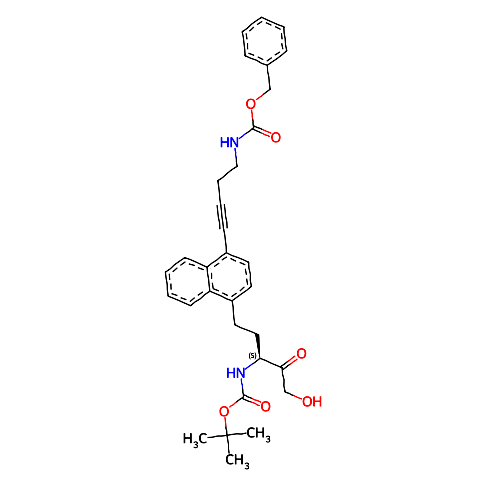 CC(C)(C)OC(=O)N[C@@H](CCc1ccc(C#CCCNC(=O)OCc2ccccc2)c2ccccc12)C(=O)CO